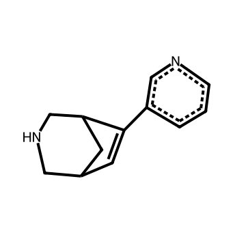 C1=C(c2cccnc2)C2CNCC1C2